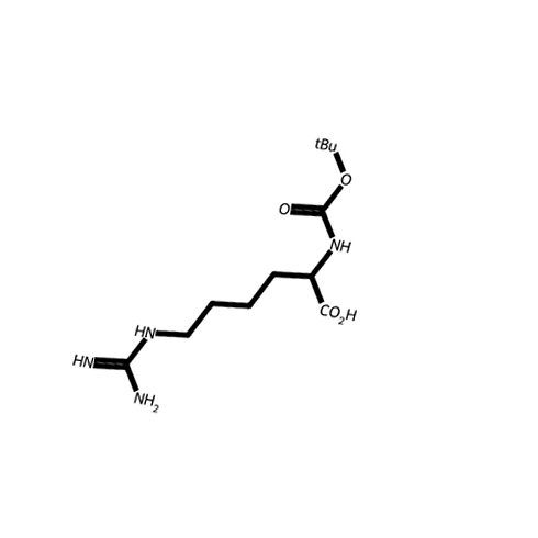 CC(C)(C)OC(=O)NC(CCCCNC(=N)N)C(=O)O